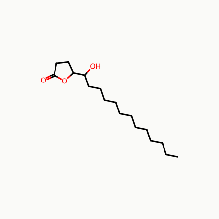 CCCCCCCCCCCCC(O)C1CCC(=O)O1